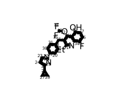 CCc1nc2c(F)ccc(O)c2c(OC(F)F)c1Cc1ccc(-n2ccc(C3CC3)n2)cc1